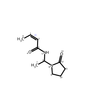 C/C=C\C(=O)NC(C)N1CCCC1=O